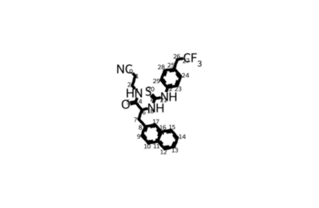 N#CCCNC(=O)C(Cc1ccc2ccccc2c1)NC(=S)Nc1ccc(CC(F)(F)F)cc1